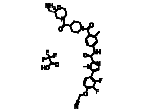 Cc1cc(NC(=O)c2ncc(-c3ccc(OCC#N)c(F)c3F)n2C)ccc1C(=O)N1CCC(C(=O)N2CCO[C@@H](CN)C2)CC1.O=C(O)C(F)(F)F